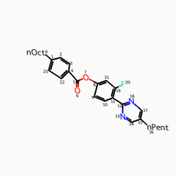 CCCCCCCCc1ccc(C(=O)Oc2ccc(-c3ncc(CCCCC)cn3)c(F)c2)cc1